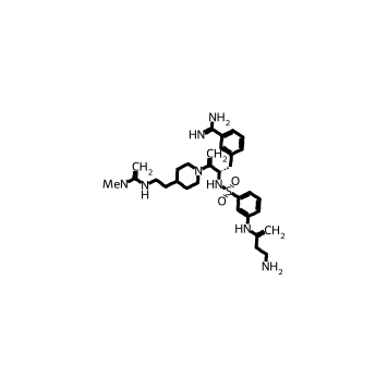 C=C(CCN)Nc1cccc(S(=O)(=O)N[C@@H](Cc2cccc(C(=N)N)c2)C(=C)N2CCC(CCNC(=C)NC)CC2)c1